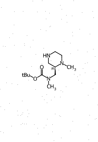 CN(C[C@H]1CNCCN1C)C(=O)OC(C)(C)C